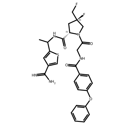 CC(NC(=O)[C@@H]1C[C@](F)(CF)CN1C(=O)CNC(=O)c1ccc(Oc2ccccc2)cc1)c1cc(C(=N)N)cs1